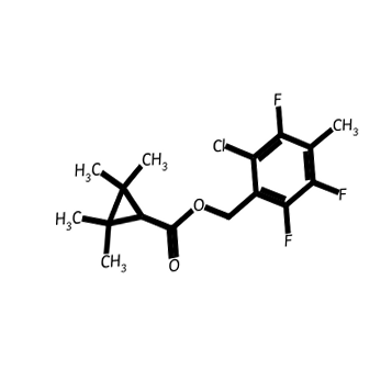 Cc1c(F)c(F)c(COC(=O)C2C(C)(C)C2(C)C)c(Cl)c1F